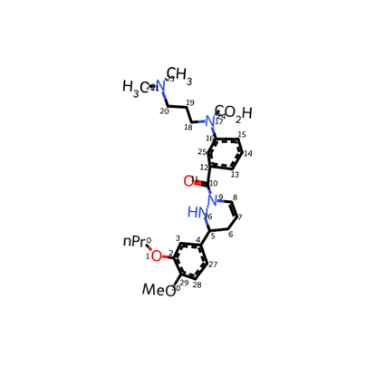 CCCOc1cc(C2CC=CN(C(=O)c3cccc(N(CCCN(C)C)C(=O)O)c3)N2)ccc1OC